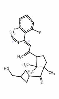 C=C(/C=C(\N=N/C)c1c(F)cccc1F)C1CCC(C)(C(=O)N2CC(CO)C2)C1(C)C